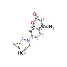 C#CCN(CC1CC1)c1ccc2c(C)cc(=O)oc2c1